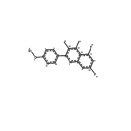 CCOc1ccc(-c2nc3cc(F)cc(F)c3c(C)c2C)cn1